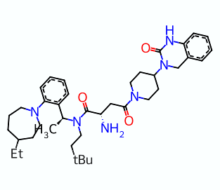 CCC1CCCN(c2ccccc2[C@H](C)N(CCC(C)(C)C)C(=O)[C@@H](N)CC(=O)N2CCC(N3Cc4ccccc4NC3=O)CC2)CC1